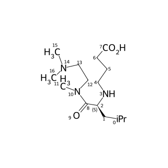 CC(C)C[C@H](NCCCC(=O)O)C(=O)N(C)CCN(C)C